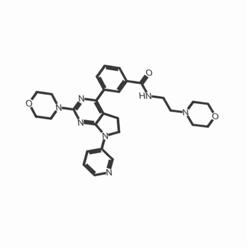 O=C(NCCN1CCOCC1)c1cccc(-c2nc(N3CCOCC3)nc3c2CCN3c2cccnc2)c1